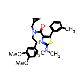 COc1ccc(CCN(CC2CC2)C(=O)c2nc(N(C)C)sc2-c2cccc(C)c2)cc1OC